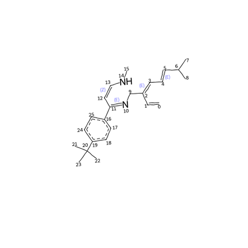 C=C/C(=C\C=C\C(C)C)C/N=C(\C=C/NC)c1ccc(C(C)(C)C)cc1